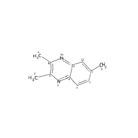 Cc1ccc2nc(C)c(C)nc2c1